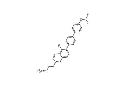 C=CCCc1ccc2c(F)c(-c3ccc(-c4ccc(OC(F)F)cc4)cc3)ccc2c1